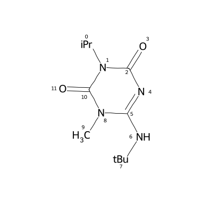 CC(C)n1c(=O)nc(NC(C)(C)C)n(C)c1=O